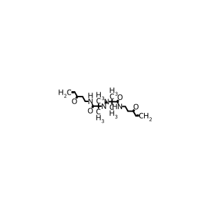 C=CC(=O)CCNC(=O)C(C)(C)N=NC(C)(C)C(=O)NCCC(=O)C=C